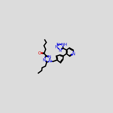 CCCCC(=O)c1nc(CCCC)n(Cc2ccc(-c3cnccc3-c3nnn[nH]3)cc2)n1